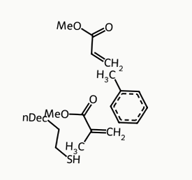 C=C(C)C(=O)OC.C=CC(=O)OC.CCCCCCCCCCCCS.Cc1ccccc1